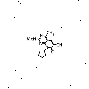 CNc1nc(C)c2cc(C#N)c(=O)n(C3CCCC3)c2n1